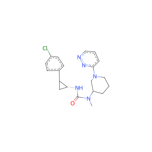 CN(C(=O)N[C@@H]1CC1c1ccc(Cl)cc1)C1CCCN(c2cccnn2)C1